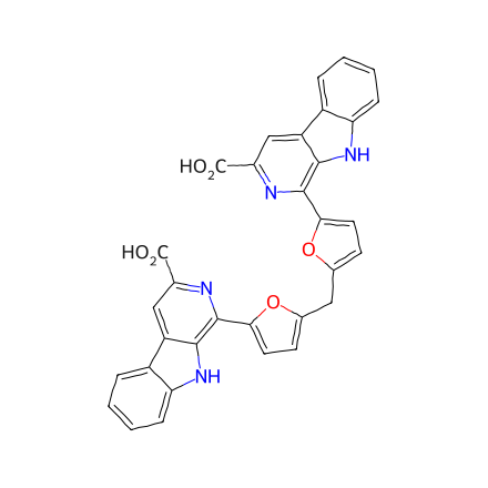 O=C(O)c1cc2c([nH]c3ccccc32)c(-c2ccc(Cc3ccc(-c4nc(C(=O)O)cc5c4[nH]c4ccccc45)o3)o2)n1